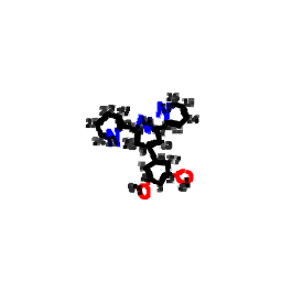 COc1cc(OC)cc(-c2cc(-c3ccccn3)nc(-c3ccccn3)c2)c1